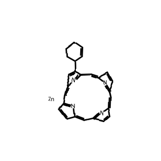 C1=CC(C2=CC3=CC4=NC(=CC5=NC(=CC6=NC(=CC2=N3)C=C6)C=C5)C=C4)CCC1.[Zn]